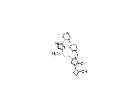 CCCCc1cn(C2CCC2O)c(=O)n1Cc1ccc(-c2ccccc2-c2nnn[nH]2)cn1